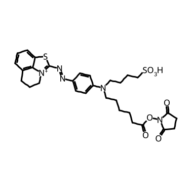 O=C(CCCCCN(CCCCS(=O)(=O)O)c1ccc(N=Nc2sc3cccc4c3[n+]2CCC4)cc1)ON1C(=O)CCC1=O